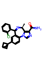 C[C@@H]1N=C(c2ccccc2Cl)c2cc(C34CC(C3)C4)ccc2-n2cnc(C(N)=O)c21